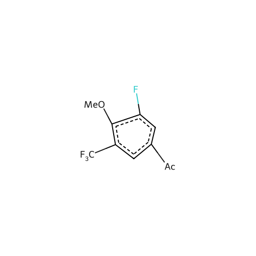 COc1c(F)cc(C(C)=O)cc1C(F)(F)F